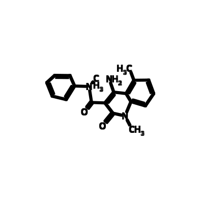 Cc1cccc2c1c(N)c(C(=O)N(C)c1ccccc1)c(=O)n2C